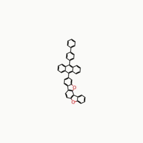 c1ccc(-c2ccc(-c3c4ccccc4c(-c4ccc5c(c4)oc4c5ccc5oc6ccccc6c54)c4ccccc34)cc2)cc1